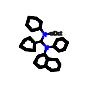 CCCCCCCCN(c1ccccc1)C(c1ccccc1)N(c1ccccc1)c1cccc2ccccc12